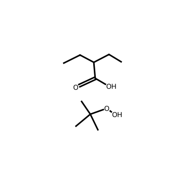 CC(C)(C)OO.CCC(CC)C(=O)O